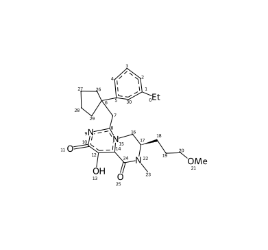 CCc1cccc(C2(Cc3nc(=O)c(O)c4n3C[C@@H](CCCOC)N(C)C4=O)CCCC2)c1